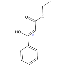 CCOC(=O)/C=C(\O)c1ccccc1